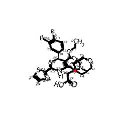 CCOC(=O)C1=C(CN2C3COCC2CC(CC(=O)O)C3)NC(c2nccs2)=N[C@H]1c1ccc(F)c(F)c1